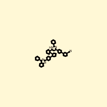 N#Cc1cccc(-c2ccc(C3=NC(c4ccccc4)NC(c4ccccc4-c4ccccc4-c4ccc(-c5nc(-c6ccccc6)c6ccccc6n5)cc4)=C3)cc2)c1